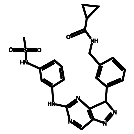 CS(=O)(=O)Nc1cccc(Nc2ncc3c(n2)C(c2cccc(CNC(=O)C4CC4)c2)N=N3)c1